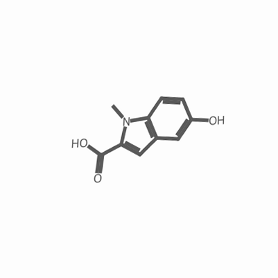 Cn1c(C(=O)O)cc2cc(O)ccc21